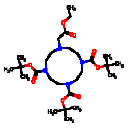 CCOC(=O)CN1CCN(C(=O)OC(C)(C)C)CCN(C(=O)OC(C)(C)C)CCN(C(=O)OC(C)(C)C)CC1